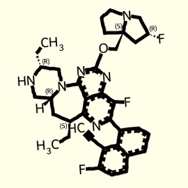 C#Cc1c(F)ccc2cccc(-c3nc4c5c(nc(OC[C@@]67CCCN6C[C@H](F)C7)nc5c3F)N3C[C@@H](CC)NC[C@H]3C[C@@H]4CC)c12